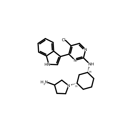 NC1CCN([C@H]2CCC[C@@H](Nc3ncc(Cl)c(-c4c[nH]c5ccccc45)n3)C2)C1